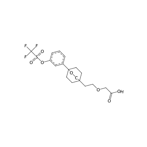 O=C(O)COCCC12CCC(c3cccc(OS(=O)(=O)C(F)(F)F)c3)(CC1)OC2